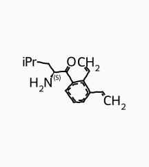 C=Cc1cccc(C(=O)[C@@H](N)CC(C)C)c1C=C